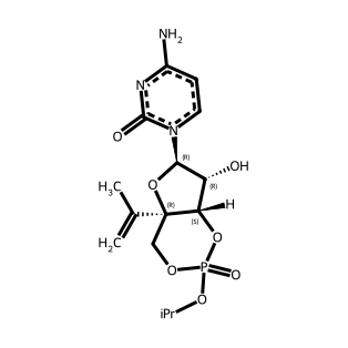 C=C(C)[C@@]12COP(=O)(OC(C)C)O[C@H]1[C@@H](O)[C@H](n1ccc(N)nc1=O)O2